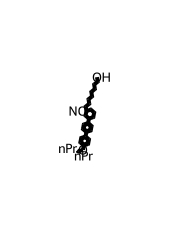 CCCC(CCC)Oc1ccc(-c2ccc(C3CCCC(C#N)(CCCCCCCCO)C3)cc2)cc1